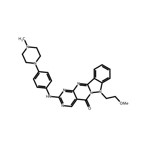 COCCn1c2ccccc2c2nc3nc(Nc4ccc(N5CCN(C)CC5)cc4)ncc3c(=O)n21